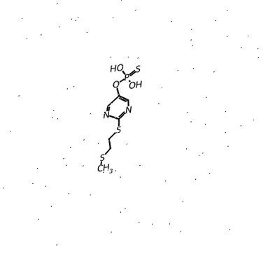 CSCCSc1ncc(OP(O)(O)=S)cn1